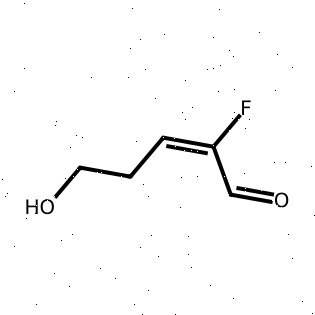 O=C/C(F)=C\CCO